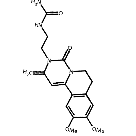 C=C1C=C2c3cc(OC)c(OC)cc3CCN2C(=O)N1CCNC(N)=O